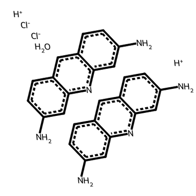 Nc1ccc2cc3ccc(N)cc3nc2c1.Nc1ccc2cc3ccc(N)cc3nc2c1.O.[Cl-].[Cl-].[H+].[H+]